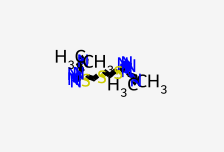 CN(C)CCn1nnnc1SCCCSCCCSc1nnnn1CCN(C)C